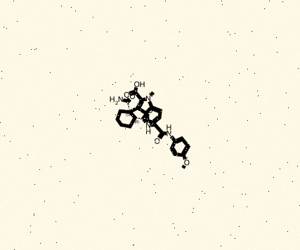 COc1ccc(NC(=O)CNC(=O)[C@@H]2CCCC[C@@]2(C(N)=O)c2c(C(=O)O)n(C)c3ccccc23)cc1